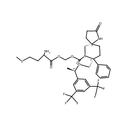 CSCCC(N)C(=O)OCOC(=O)N1C[C@@]2(CCC(=O)N2)CC[C@@]1(CO[C@H](C)c1cc(C(F)(F)F)cc(C(F)(F)F)c1)c1ccccc1